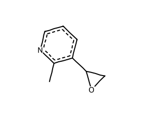 Cc1ncccc1C1CO1